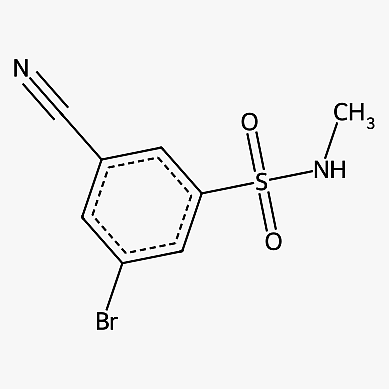 CNS(=O)(=O)c1cc(Br)cc(C#N)c1